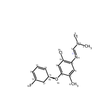 CCN(C)/C=N/c1cc(C)c(O[C@@H]2C=CC=C(F)C2)cc1Cl